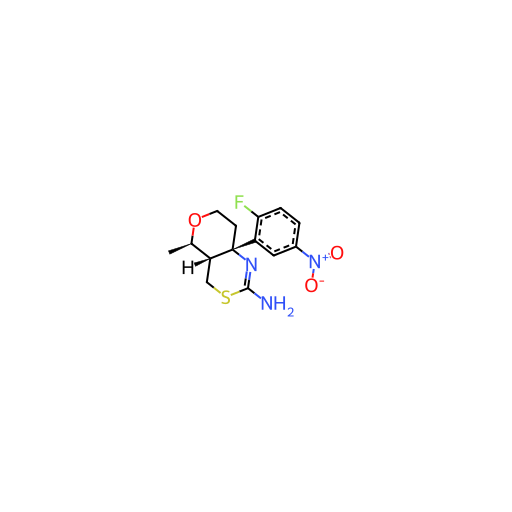 C[C@H]1OCC[C@]2(c3cc([N+](=O)[O-])ccc3F)N=C(N)SC[C@H]12